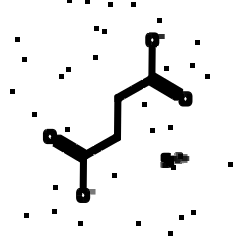 O=C([O-])CCC(=O)[O-].[Sr+2]